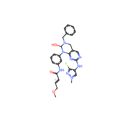 COC/C=C/C(=O)Nc1cccc(N2c3nc(Nc4cn(C)nc4F)ncc3CN(Cc3ccccc3)C2O)c1